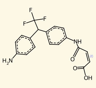 Nc1ccc(C(c2ccc(NC(=O)/C=C\C(=O)O)cc2)C(F)(F)F)cc1